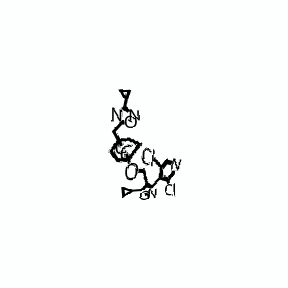 Clc1cncc(Cl)c1-c1noc(C2CC2)c1COC12CCC(Cc3nc(C4CC4)no3)(CC1)CC2